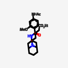 CCOC(=O)CCCCN1C2CCCC1CC(NC(=O)c1ccc(NC(C)=O)cc1OC)C2